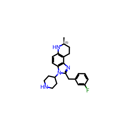 C[C@H]1CCc2c(ccc3c2nc(Cc2cccc(F)c2)n3C2CCNCC2)N1